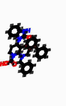 O=C(O)N1CCC(n2c(=O)[nH]c3ccccc32)C(CCCc2ccccc2)[C@H]1N(Cc1ccccc1)Cc1ccccc1